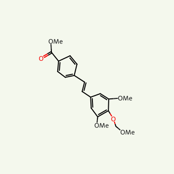 COCOc1c(OC)cc(C=Cc2ccc(C(=O)OC)cc2)cc1OC